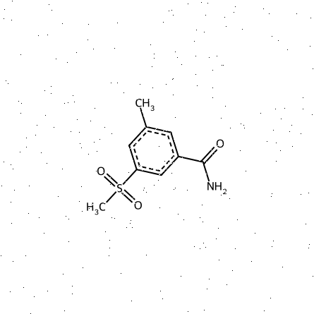 Cc1cc(C(N)=O)cc(S(C)(=O)=O)c1